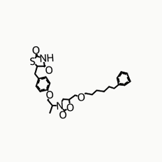 CC(COc1ccc(CC2SC(=O)NC2=O)cc1)N1CC(COCCCCCCc2ccccc2)OC1=O